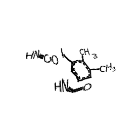 Cc1cccc(I)c1C.N=C=O.N=C=O